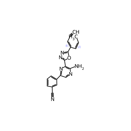 C#C/C=C(\C=C/C)c1nnc(-c2nc(-c3cccc(C#N)c3)cnc2N)o1